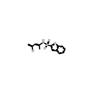 C=C(Cl)/C=C(\C)NS(=O)(=O)c1cc2ccccc2o1